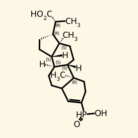 C[C@@H](C(=O)O)[C@H]1CC[C@H]2[C@@H]3CCC4C=C([PH](=O)O)CC[C@]4(C)[C@H]3CC[C@]12C